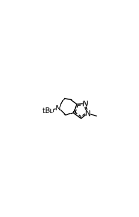 Cn1cc2c(n1)CCN(C(C)(C)C)C2